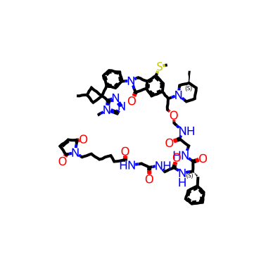 CSc1cc(C(COCNC(=O)CNC(=O)[C@H](Cc2ccccc2)NC(=O)CNC(=O)CNC(=O)CCCCCN2C(=O)C=CC2=O)N2CCC[C@H](C)C2)cc2c1CN(c1cccc(C3(c4nncn4C)CC(C)C3)c1)C2=O